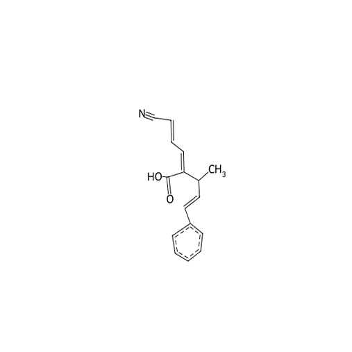 CC(C=Cc1ccccc1)C(=CC=CC#N)C(=O)O